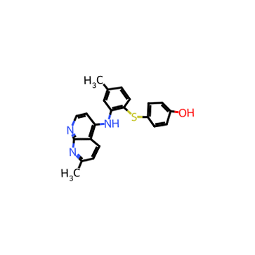 Cc1ccc(Sc2ccc(O)cc2)c(Nc2ccnc3nc(C)ccc23)c1